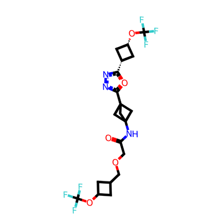 O=C(COCC1CC(OC(F)(F)F)C1)NC12CC(c3nnc([C@H]4C[C@@H](OC(F)(F)F)C4)o3)(C1)C2